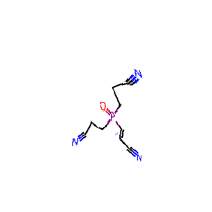 N#C/C=C/P(=O)(CCC#N)CCC#N